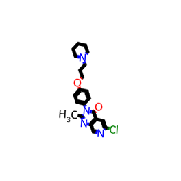 Cc1nc2cnc(Cl)cc2c(=O)n1-c1ccc(OCCCN2CCCCC2)cc1